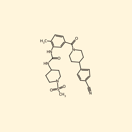 Cc1ccc(C(=O)N2CCC(c3ccc(C#N)cc3)CC2)cc1NC(=O)NC1CCN(S(C)(=O)=O)CC1